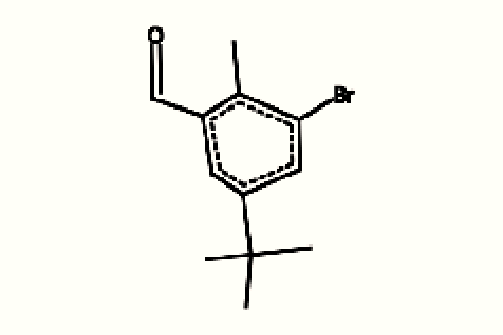 Cc1c(Br)cc(C(C)(C)C)cc1C=O